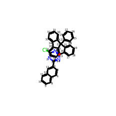 Clc1nc(-c2ccc3ccccc3c2)nc(-c2ccccc2C2(c3ccccc3)c3ccccc3-c3ccccc32)n1